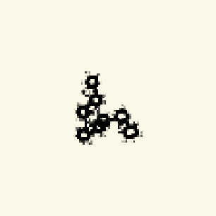 c1cc(-c2cccc3c2sc2ccccc23)cc(-n2c3ccc4c5ccccc5oc4c3c3cccc(-n4c5ccccc5c5ccccc54)c32)c1